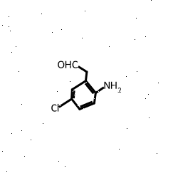 Nc1ccc(Cl)cc1CC=O